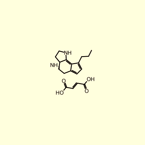 CCCC1=CC=C2CCC3CCNC3=C12.N.O=C(O)C=CC(=O)O